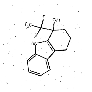 OC1(C(F)(F)C(F)(F)F)CCCc2c1[nH]c1ccccc21